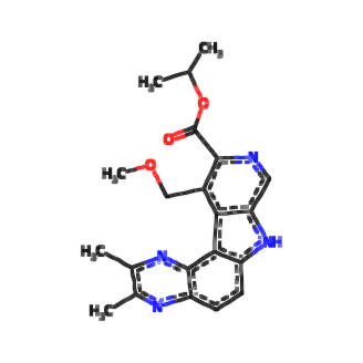 COCc1c(C(=O)OC(C)C)ncc2[nH]c3ccc4nc(C)c(C)nc4c3c12